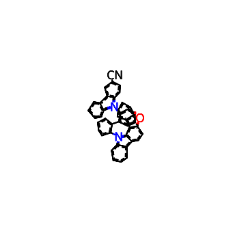 N#Cc1ccc2c(c1)c1ccccc1n2-c1ccccc1-c1ccccc1-n1c2ccccc2c2ccc3oc4ccccc4c3c21